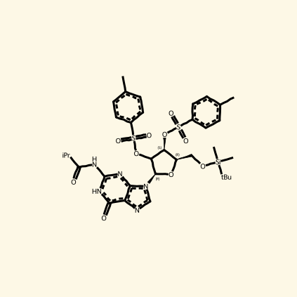 Cc1ccc(S(=O)(=O)OC2[C@@H](OS(=O)(=O)c3ccc(C)cc3)[C@@H](CO[Si](C)(C)C(C)(C)C)O[C@H]2n2cnc3c(=O)[nH]c(NC(=O)C(C)C)nc32)cc1